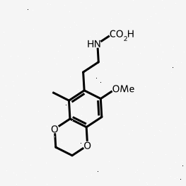 COc1cc2c(c(C)c1CCNC(=O)O)OCCO2